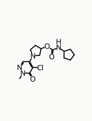 Cn1ncc(N2CCC(OC(=O)NC3CCCC3)C2)c(Cl)c1=O